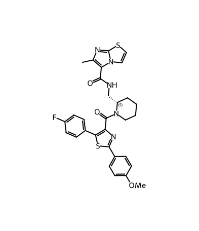 COc1ccc(-c2nc(C(=O)N3CCCC[C@H]3CNC(=O)c3c(C)nc4sccn34)c(-c3ccc(F)cc3)s2)cc1